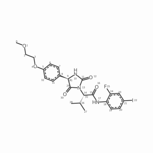 COCCOc1ccc([C@H]2NC(=O)N([C@H](C(=O)Nc3ccc(I)cc3F)C(C)C)C2=O)cc1